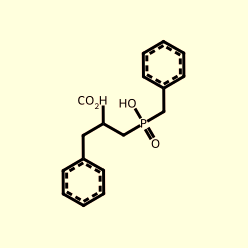 O=C(O)C(Cc1ccccc1)CP(=O)(O)Cc1ccccc1